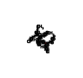 CCCCCCC[N+](CC)(CC)CCCCc1ccc(Cl)cc1.COc1ccc(CCN2CCC(Nc3nc4ccccc4n3Cc3ccc(F)cc3)CC2)cc1.O=C(CCCN1CCC(O)(c2ccc(Cl)cc2)CC1)c1ccc(F)cc1